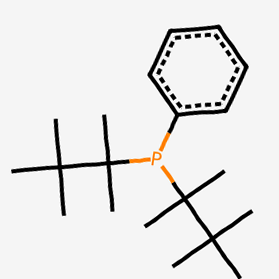 CC(C)(C)C(C)(C)P(c1ccccc1)C(C)(C)C(C)(C)C